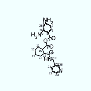 Nc1ccc(C(=O)OC(=O)C2CCCCC2C(=O)NCc2cccnc2)c(N)c1